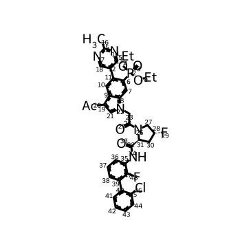 CCOP(=O)(OCC)c1cc2c(cc1-c1cnc(C)nc1)c(C(C)=O)cn2CC(=O)N1C[C@H](F)C[C@H]1C(=O)Nc1cccc(-c2ccccc2Cl)c1F